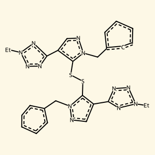 CCn1nnc(-c2cnn(Cc3ccccc3)c2SSc2c(-c3nnn(CC)n3)cnn2Cc2ccccc2)n1